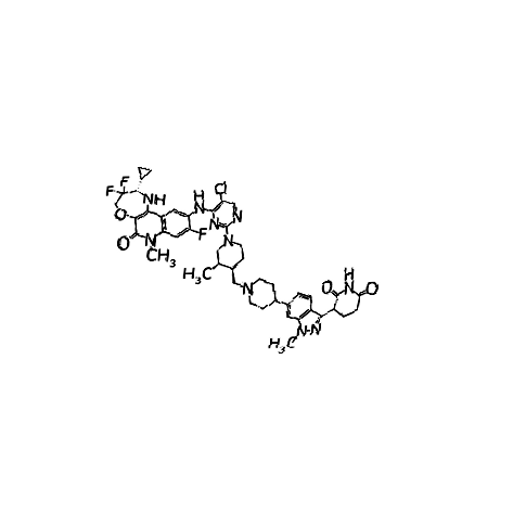 C[C@H]1CN(c2ncc(Cl)c(Nc3cc4c5c(c(=O)n(C)c4cc3F)OCC(F)(F)[C@H](C3CC3)N5)n2)CC[C@H]1CN1CCC(c2ccc3c(C4CCC(=O)NC4=O)nn(C)c3c2)CC1